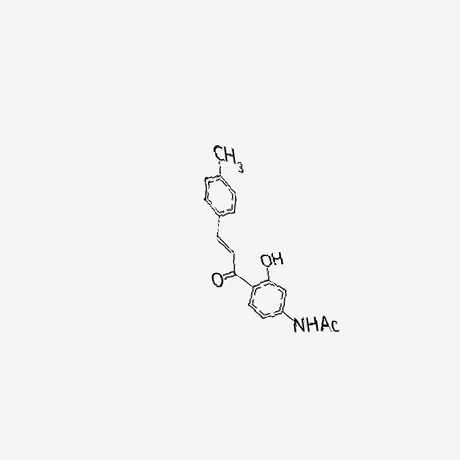 CC(=O)Nc1ccc(C(=O)/C=C/c2ccc(C)cc2)c(O)c1